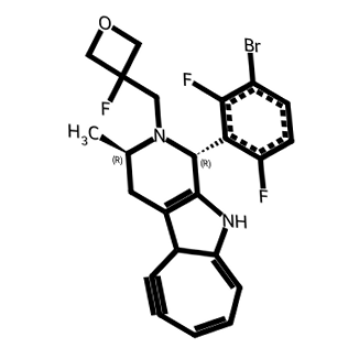 C[C@@H]1CC2=C(NC3=CC=CC#CC32)[C@@H](c2c(F)ccc(Br)c2F)N1CC1(F)COC1